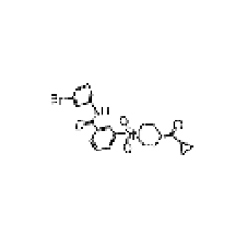 O=C(Nc1cccc(Br)c1)c1cccc(S(=O)(=O)N2CCC(C(=O)C3CC3)CC2)c1